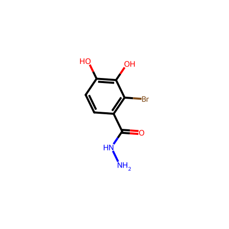 NNC(=O)c1ccc(O)c(O)c1Br